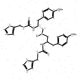 CCN(CC(Cc1ccc(OC)cc1)NC(=O)OCc1cncs1)C[C@@H](Cc1ccc(OC)cc1)NC(=O)OCc1cncs1